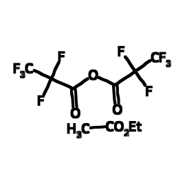 CCOC(C)=O.O=C(OC(=O)C(F)(F)C(F)(F)F)C(F)(F)C(F)(F)F